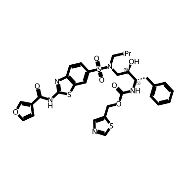 CC(C)CN(C[C@@H](O)[C@H](Cc1ccccc1)NC(=O)OCc1cncs1)S(=O)(=O)c1ccc2nc(NC(=O)c3ccoc3)sc2c1